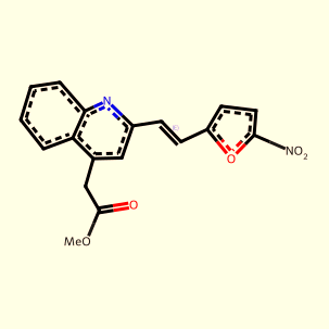 COC(=O)Cc1cc(/C=C/c2ccc([N+](=O)[O-])o2)nc2ccccc12